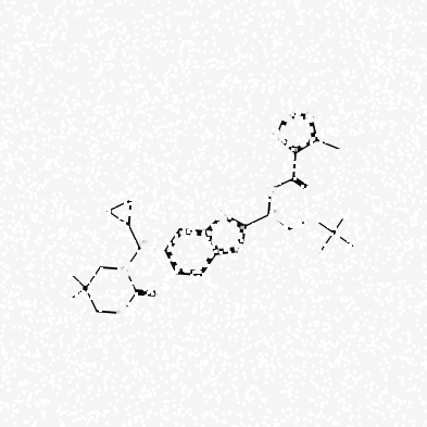 Cc1nonc1C(=O)N[C@@H](COC(C)(C)C(F)(F)F)c1nc2cc([C@@H](C3CC3)N3CC(F)(F)CNC3=O)ccc2[nH]1